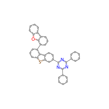 c1ccc(-c2nc(-c3ccccc3)nc(-c3ccc4c(c3)sc3cccc(-c5cccc6c5oc5ccccc56)c34)n2)cc1